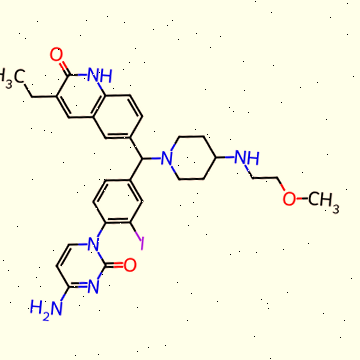 CCc1cc2cc(C(c3ccc(-n4ccc(N)nc4=O)c(I)c3)N3CCC(NCCOC)CC3)ccc2[nH]c1=O